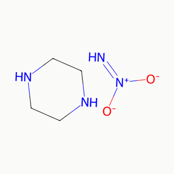 C1CNCCN1.N=[N+]([O-])[O-]